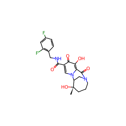 C[C@]1(O)CCCN2CC1n1cc(C(=O)NCc3ccc(F)cc3F)c(=O)c(O)c1C2=O